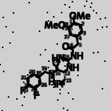 COc1ccc(CC(=O)NC(=N)N[C@H](CC(C)C)C(=O)NCc2ccc(F)c(F)c2)cc1OC